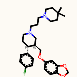 CC1(C)CCN(CCCN2CC[C@@H](c3ccc(F)cc3)[C@H](COc3ccc4c(c3)OCO4)C2)CC1